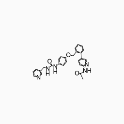 CC(=O)Nc1ccc(-c2ccccc2COc2ccc(NC(=O)NCc3cccnc3)cc2)cn1